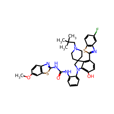 COc1ccc2nc(NC(=O)Nc3ccccc3N3CC4(CCN(CC(C)(C)C)CC4)c4c(-c5nc6cc(F)ccc6s5)ccc(O)c43)sc2c1